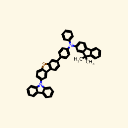 CC1(C)c2ccccc2-c2ccc(N(c3ccccc3)c3ccc(-c4ccc5c(c4)sc4ccc(-n6c7ccccc7c7ccccc76)cc45)cc3)cc21